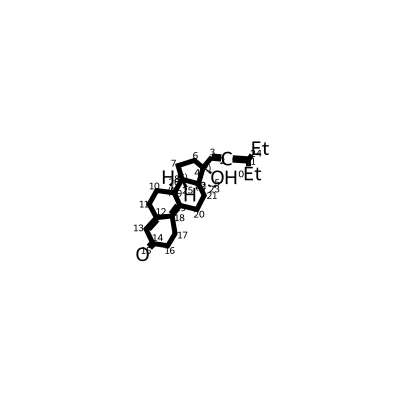 CCC(=C=C[C@]1(O)CC[C@H]2[C@@H]3CCC4=CC(=O)CCC4=C3CC[C@@]21C)CC